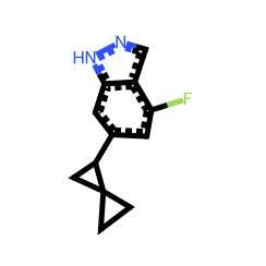 Fc1cc(C2CC23CC3)cc2[nH]ncc12